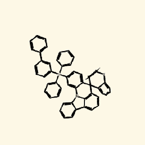 c1ccc(-c2cccc([Si](c3ccccc3)(c3ccccc3)c3ccc4c(c3)-n3c5ccccc5c5cccc(c53)C43c4ccccc4Sc4ccccc43)c2)cc1